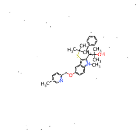 Cc1ccc(COc2ccc3c(c2)c(SC(C)(C)C)c(C(Cc2ccccc2)C(C)(C)O)n3C)nc1